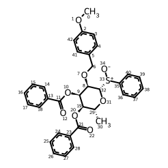 COc1ccc(CO[C@@H]2[C@H](OC(=O)c3ccccc3)[C@H](OC(=O)c3ccccc3)[C@@H](C)O[C@H]2[S+]([O-])c2ccccc2)cc1